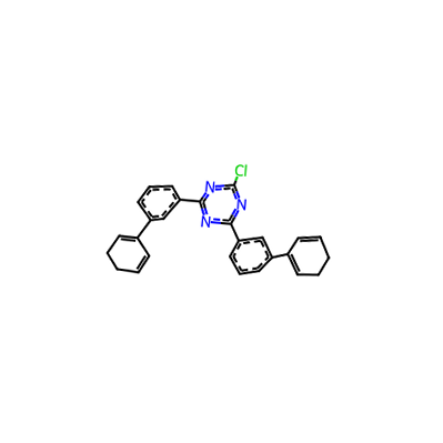 Clc1nc(-c2cccc(C3=CCCC=C3)c2)nc(-c2cccc(C3=CCCC=C3)c2)n1